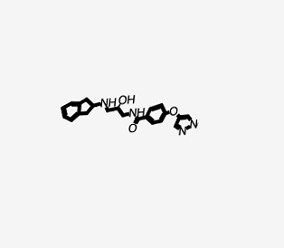 Cn1cc(Oc2ccc(C(=O)NC[C@@H](O)CNC3Cc4ccccc4C3)cc2)cn1